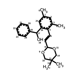 Cc1cc(C)c(C=CC2OCC(C)(C)CO2)c(C(O)c2ccccc2)c1